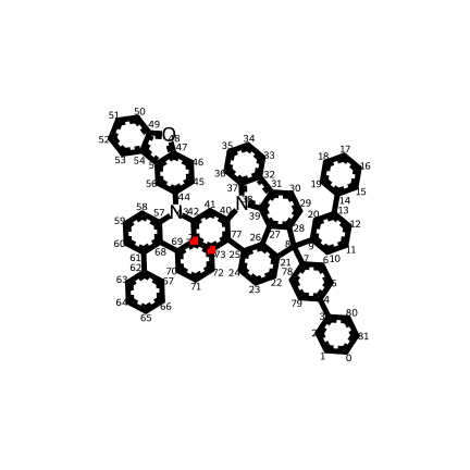 c1ccc(-c2ccc(C3(c4cccc(-c5ccccc5)c4)c4cccc5c4-c4c3ccc3c6ccccc6n(c43)-c3cc(N(c4ccc6oc7ccccc7c6c4)c4cccc(-c6ccccc6)c4-c4ccccc4)ccc3-5)cc2)cc1